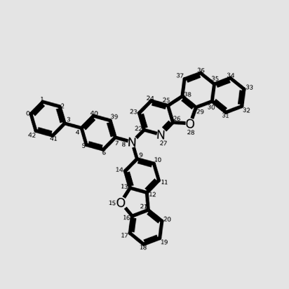 c1ccc(-c2ccc(N(c3ccc4c(c3)oc3ccccc34)c3ccc4c(n3)oc3c5ccccc5ccc43)cc2)cc1